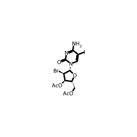 CC(=O)OC[C@H]1O[C@@H](n2cc(I)c(N)nc2=O)[C@H](Br)[C@@H]1OC(C)=O